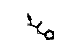 N#CNC(=O)Oc1cccs1